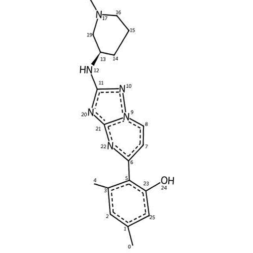 Cc1cc(C)c(-c2ccn3nc(N[C@@H]4CCCN(C)C4)nc3n2)c(O)c1